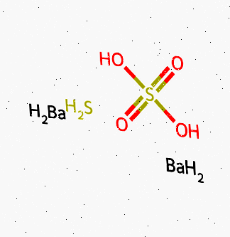 O=S(=O)(O)O.S.[BaH2].[BaH2]